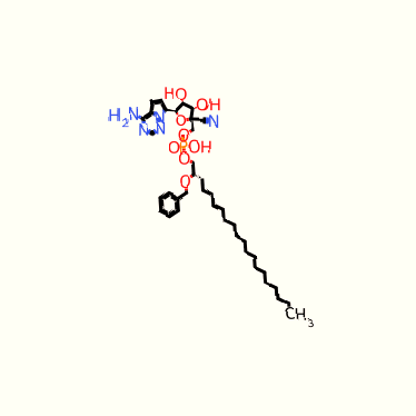 CCCCCCCCCCCCCCCCCC[C@@H](COP(=O)(O)OC[C@@]1(C#N)O[C@@H](c2ccc3c(N)ncnn23)[C@H](O)[C@@H]1O)OCc1ccccc1